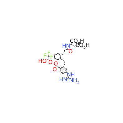 N=C(N)Nc1ccc2c(c1)CCc1c(CCC(=O)N[C@@H](CC(=O)O)C(=O)O)cccc1OC2=O.O=C(O)C(F)(F)F